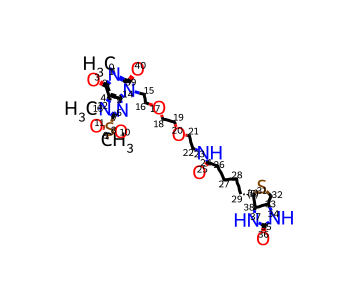 Cn1c(=O)c2c(nc(S(C)(=O)=O)n2C)n(CCOCCOCCNC(=O)CCCC[C@@H]2SCC3NC(=O)NC32)c1=O